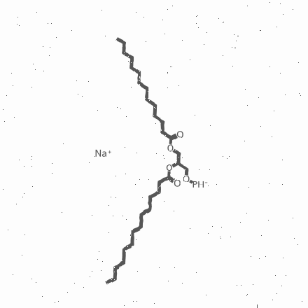 CCCCCCCCCCCCCC(=O)OCC(CO[PH-])OC(=O)CCCCCCCCCCCCC.[Na+]